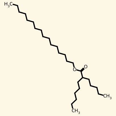 CCCCCCCCCCCCCCCCOC(=O)C(CCCCC)CCCCCC